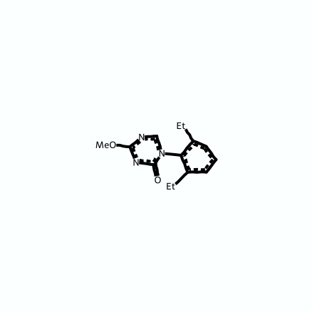 CCc1cccc(CC)c1-n1cnc(OC)nc1=O